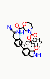 CC(C)(C)OC(=O)N1CCCOC(C(=O)N[C@H](C#N)Cc2ccc(-c3ccc4c(c3)C(=O)NC4)cc2F)C1